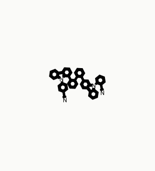 N#Cc1ccc(-n2c3ccccc3c3cccc(-c4ccccc4-c4ccccc4-c4ccc5c6ccccc6n(-c6ccccc6C#N)c5c4)c32)cc1